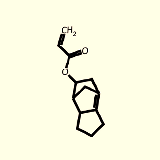 C=CC(=O)OC1CC2=C3CCCC3C1C2